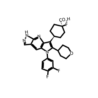 O=C(O)[C@]1(F)CC[C@@H](c2c(C3CCOCC3)n(-c3ccc(F)c(F)c3)c3cc4cn[nH]c4nc32)CC1